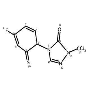 O=c1n(C2C=CC(F)=CC2=S)cnn1C(Cl)(Cl)Cl